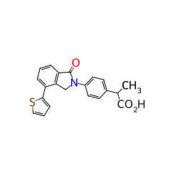 CC(C(=O)O)c1ccc(N2Cc3c(cccc3-c3cccs3)C2=O)cc1